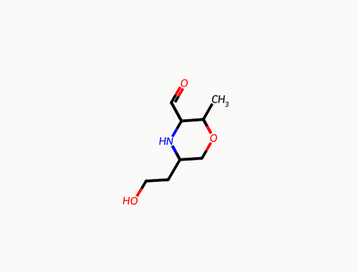 CC1OCC(CCO)NC1C=O